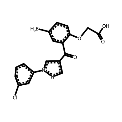 Bc1ccc(OCC(=O)O)c(C(=O)c2cnn(-c3cccc(Cl)c3)c2)c1